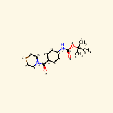 CC(C)(C)OC(=O)NC1CCC(C(=O)N2CCSCC2)CC1